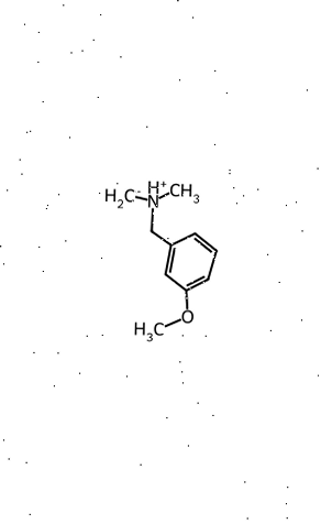 [CH2-][NH+](C)Cc1cccc(OC)c1